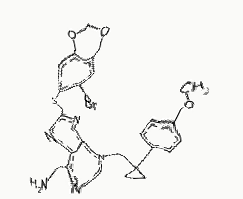 COc1ccc(C2(Cn3cnc(N)c4nc(Sc5cc6c(cc5Br)OCO6)nc3-4)CC2)cc1